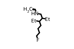 C=CNCC(CC)C(CC)CCCCF